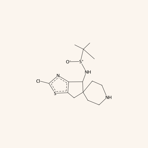 CC(C)(C)[S+]([O-])NC1c2nc(Cl)sc2CC12CCNCC2